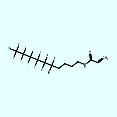 C=CC(=O)NCCCCC(F)(F)C(F)(F)C(F)(F)C(F)(F)C(F)(F)C(F)(F)F